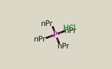 CCC[P](CCC)(CCC)CCC.Cl